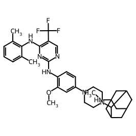 CNC12CC3CC(C1)C(N1CCN(c4ccc(Nc5ncc(C(F)(F)F)c(Nc6c(C)cccc6C)n5)c(OC)c4)CC1)C(C3)C2